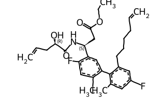 C=CCCCCc1cc(F)cc(C)c1-c1cc([C@H](CC(=O)OCC)NC(=O)[C@H](O)CC=C)c(F)cc1C